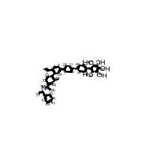 C=Cc1ccc(-c2ccc(-c3ccc(-c4c(O)c(O)c(O)c(O)c4O)cc3)cc2)cc1-c1ccc(/C(C)=N/C(C)c2ccccc2)cc1C